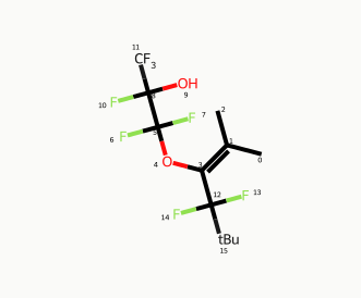 CC(C)=C(OC(F)(F)C(O)(F)C(F)(F)F)C(F)(F)C(C)(C)C